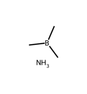 CB(C)C.N